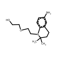 CC1(C)CCc2cc(N)ccc2N1CCOCCO